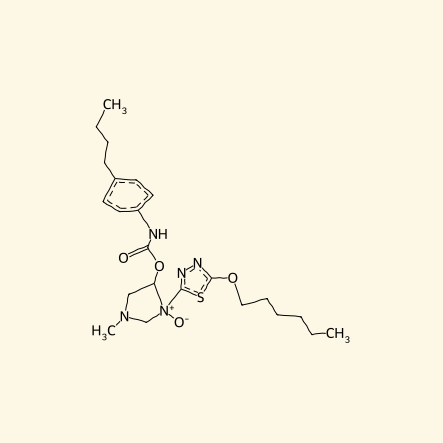 CCCCCCOc1nnc([N+]2([O-])CN(C)CC2OC(=O)Nc2ccc(CCCC)cc2)s1